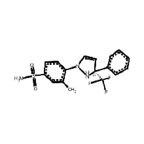 Cc1cc(S(N)(=O)=O)ccc1N1C=C[C@](c2ccccc2)(C(F)(F)F)N1